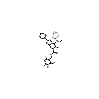 CCN(c1c(C)c(C(=O)NCc2c(C)cc(C)[nH]c2=O)cc2cc(-c3ccccc3)cn12)C1CCOCC1